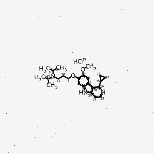 COc1cc2c(cc1OCCCN(C(C)C)C(C)C)[nH]c1ccnc(C3CC3)c12.Cl